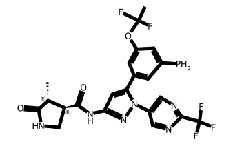 C[C@H]1C(=O)NC[C@@H]1C(=O)Nc1cc(-c2cc(P)cc(OC(C)(F)F)c2)n(-c2cnc(C(F)(F)F)nc2)n1